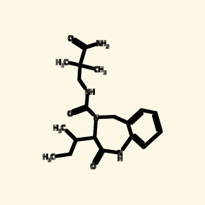 CCC(C)C1C(=O)Nc2ccccc2CN1C(=O)NCC(C)(C)C(N)=O